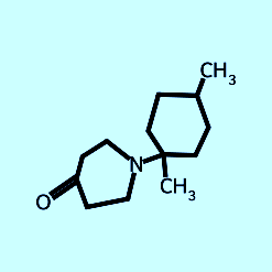 CC1CCC(C)(N2CCC(=O)CC2)CC1